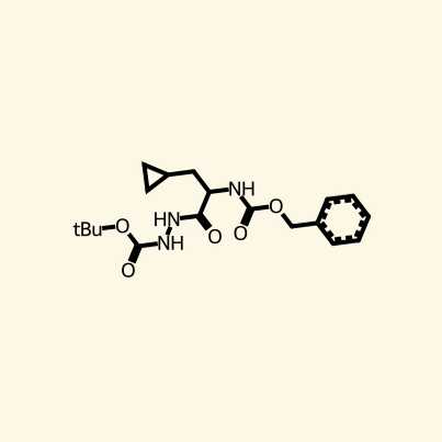 CC(C)(C)OC(=O)NNC(=O)C(CC1CC1)NC(=O)OCc1ccccc1